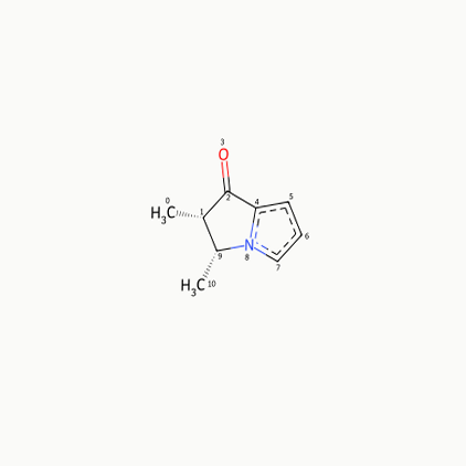 C[C@@H]1C(=O)c2cccn2[C@@H]1C